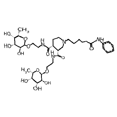 C[C@@H]1O[C@@H](OCCNC(=O)[C@H]2CN(CCCCCC(=O)Nc3ccccc3)CC[C@H]2C(=O)NCCO[C@@H]2O[C@@H](C)[C@@H](O)[C@@H](O)[C@@H]2O)[C@@H](O)[C@H](O)[C@@H]1O